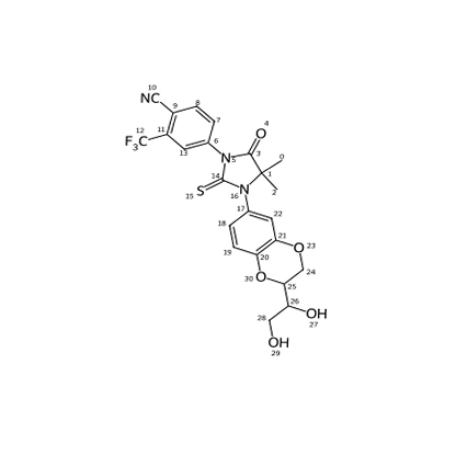 CC1(C)C(=O)N(c2ccc(C#N)c(C(F)(F)F)c2)C(=S)N1c1ccc2c(c1)OCC(C(O)CO)O2